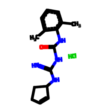 Cc1cccc(C)c1NC(=O)NC(=N)NC1C=CCC1.Cl